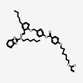 C=CC(=O)OCCCCCCOc1ccc(C(=O)Oc2ccc(COc3ccc(CCCCC)cc3/C=N/N(CCCCCC)c3nc4ccccc4s3)cc2)cc1